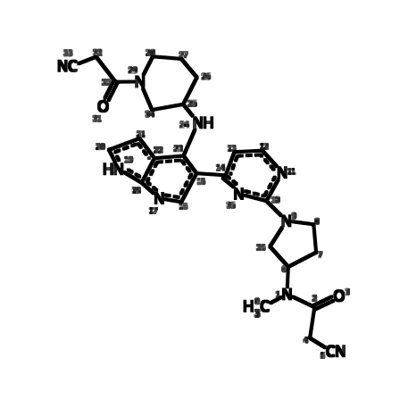 CN(C(=O)CC#N)C1CCN(c2nccc(-c3cnc4[nH]ccc4c3NC3CCCN(C(=O)CC#N)C3)n2)C1